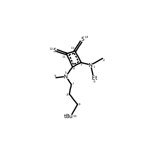 CCN(C)c1c(N(C)CCCC(C)(C)C)c(=S)c1=S